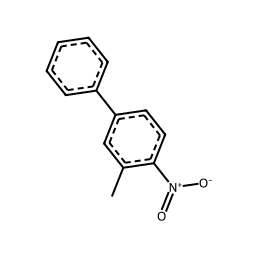 Cc1cc(-c2ccccc2)ccc1[N+](=O)[O-]